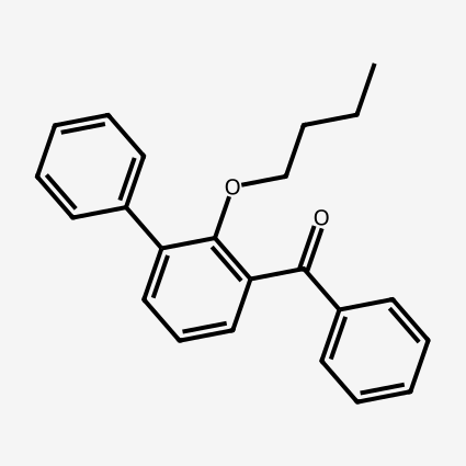 CCCCOc1c(C(=O)c2ccccc2)cccc1-c1ccccc1